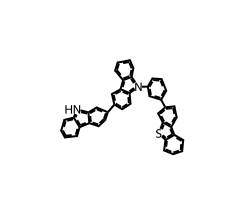 c1cc(-c2ccc3c(c2)sc2ccccc23)cc(-n2c3ccccc3c3cc(-c4ccc5c(c4)[nH]c4ccccc45)ccc32)c1